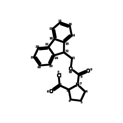 O=C(Cl)C1CCCN1C(=O)OCC1c2ccccc2-c2ccccc21